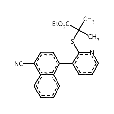 CCOC(=O)C(C)(C)Sc1ncccc1-c1ccc(C#N)c2ccccc12